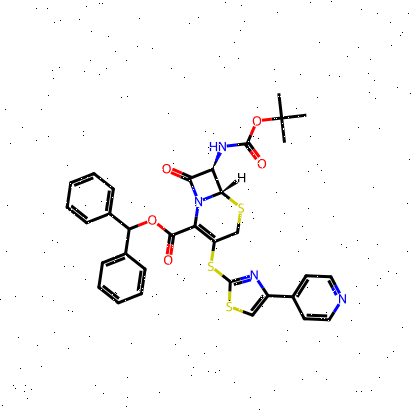 CC(C)(C)OC(=O)N[C@@H]1C(=O)N2C(C(=O)OC(c3ccccc3)c3ccccc3)=C(Sc3nc(-c4ccncc4)cs3)CS[C@@H]12